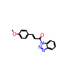 COc1ccc(/C=C/C(=O)n2nnc3ccccc32)cc1